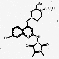 CC1=C(C)C(=O)N(Nc2cc(CN3CCN(C(=O)O)C(C(C)(C)C)C3)c3ccc(Br)cc3n2)C1=O